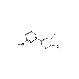 COc1cncc(-c2ccc(C(F)(F)F)c(F)c2)c1